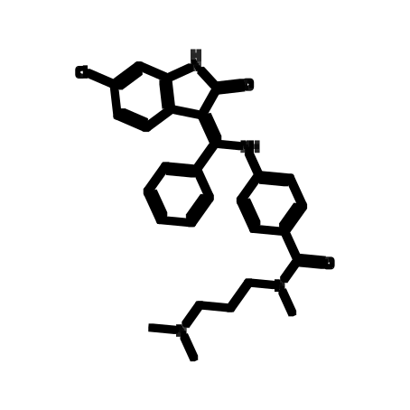 CN(C)CCCN(C)C(=O)c1ccc(N/C(=C2\C(=O)Nc3cc(Cl)ccc32)c2ccccc2)cc1